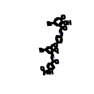 COc1c(/C=C/C(=O)c2ccc(NC(C)=O)cc2)cc(Br)cc1COc1ccc(/C=C/C(=O)c2cc(Br)ccc(=O)c2O)cc1